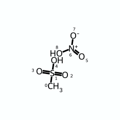 CS(=O)(=O)O.O=[N+]([O-])O